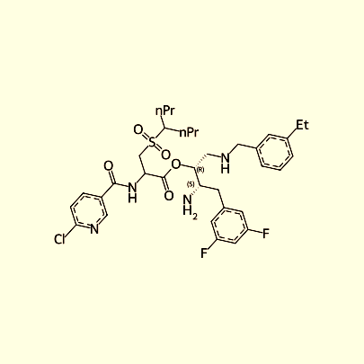 CCCC(CCC)S(=O)(=O)CC(NC(=O)c1ccc(Cl)nc1)C(=O)O[C@H](CNCc1cccc(CC)c1)[C@@H](N)Cc1cc(F)cc(F)c1